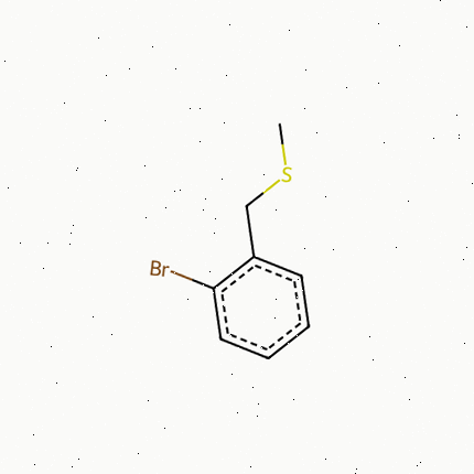 CSCc1ccccc1Br